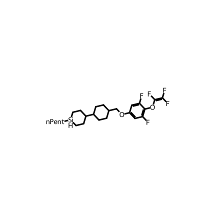 CCCCC[SiH]1CCC(C2CCC(COc3cc(F)c(OC(F)=C(F)F)c(F)c3)CC2)CC1